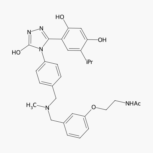 CC(=O)NCCOc1cccc(CN(C)Cc2ccc(-n3c(O)nnc3-c3cc(C(C)C)c(O)cc3O)cc2)c1